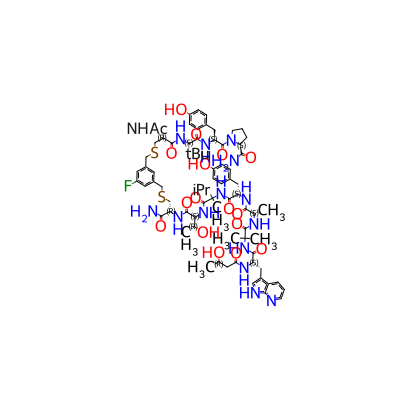 CC(=O)N[C@@H](CSCc1cc(F)cc(CSC[C@H](NC(=O)[C@@H](NC(=O)C(C)(NC(=O)[C@H](Cc2ccc(O)cc2)NC(=O)[C@H](C)NC(=O)C(C)(C)NC(=O)[C@H](Cc2c[nH]c3ncccc23)NC(=O)C[C@@H](C)O)C(C)C)[C@@H](C)O)C(N)=O)c1)C(=O)N[C@H](C(=O)N[C@@H](Cc1ccc(O)cc1)C(=O)N1CCC[C@H]1C(N)=O)C(C)(C)C